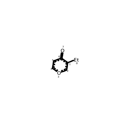 CCc1coccc1=O